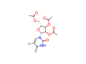 CC(=O)OC[C@H]1O[C@@H](n2cc(F)c(=S)[nH]c2=O)[C@H](OC(C)=O)[C@@H]1OC(C)=O